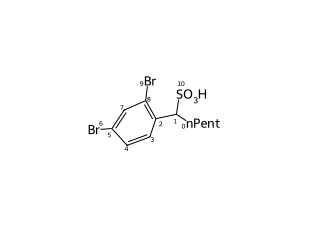 CCCCCC(c1ccc(Br)cc1Br)S(=O)(=O)O